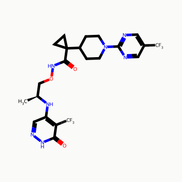 C[C@@H](CONC(=O)C1(C2CCN(c3ncc(C(F)(F)F)cn3)CC2)CC1)Nc1cn[nH]c(=O)c1C(F)(F)F